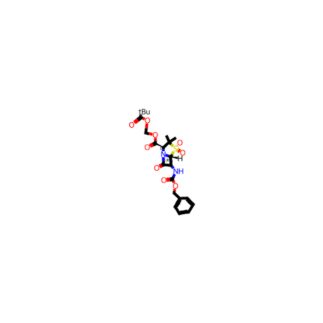 CC(C)(C)C(=O)OCOC(=O)[C@@H]1N2C(=O)C(NC(=O)OCc3ccccc3)[C@H]2S(=O)(=O)C1(C)C